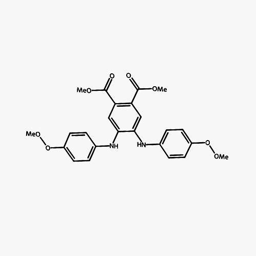 COOc1ccc(Nc2cc(C(=O)OC)c(C(=O)OC)cc2Nc2ccc(OOC)cc2)cc1